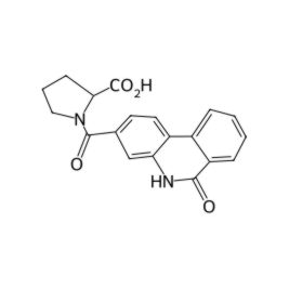 O=C(O)C1CCCN1C(=O)c1ccc2c(c1)[nH]c(=O)c1ccccc12